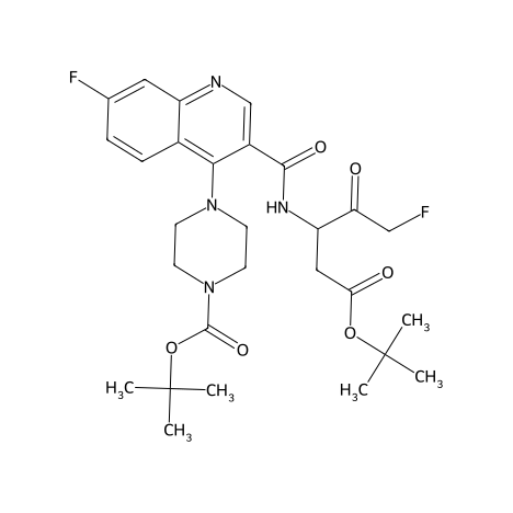 CC(C)(C)OC(=O)CC(NC(=O)c1cnc2cc(F)ccc2c1N1CCN(C(=O)OC(C)(C)C)CC1)C(=O)CF